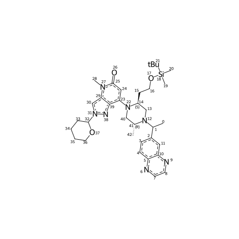 CC(c1ccc2nccnc2c1)N1C[C@H](CCO[Si](C)(C)C(C)(C)C)N(c2cc(=O)n(C)c3cn(C4CCCCO4)nc23)C[C@H]1C